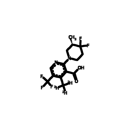 [2H]C([2H])([2H])c1c(C(F)(F)F)cnc(N2CCC(F)(F)[C@@H](C)C2)c1C(=O)O